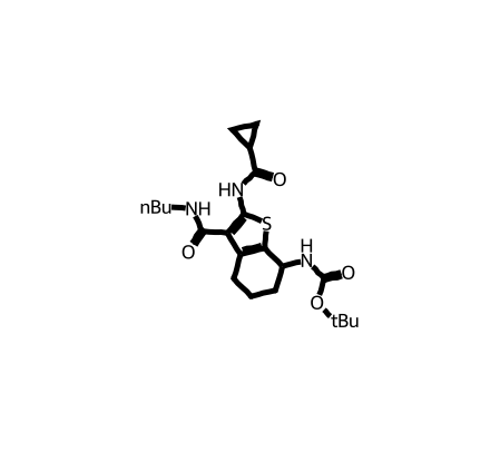 CCCCNC(=O)c1c(NC(=O)C2CC2)sc2c1CCCC2NC(=O)OC(C)(C)C